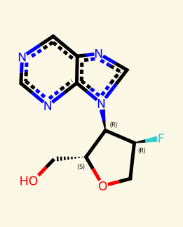 OC[C@H]1OC[C@H](F)[C@@H]1n1cnc2cncnc21